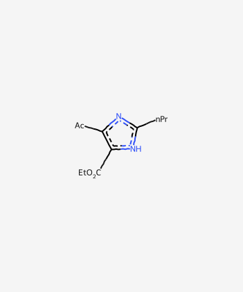 CCCc1nc(C(C)=O)c(C(=O)OCC)[nH]1